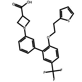 O=C(O)C1CN(c2cccc(-c3cc(C(F)(F)F)ccc3OCCc3cccs3)c2)C1